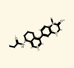 CCC(=O)N[C@@H]1CCCc2c(-c3ccc4c(c3)OCC(=O)N4C)cncc21